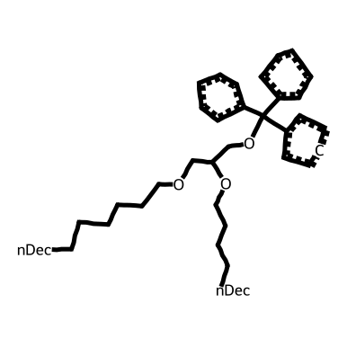 CCCCCCCCCCCCCCCCOCC(COC(c1ccccc1)(c1ccccc1)c1ccccc1)OCCCCCCCCCCCCCC